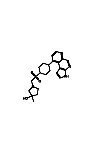 CC1(O)CCN(CS(=O)(=O)C2CCC(c3ccnc4cnc5[nH]ccc5c34)CC2)C1